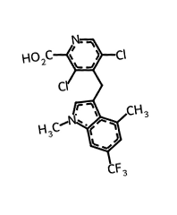 Cc1cc(C(F)(F)F)cc2c1c(Cc1c(Cl)cnc(C(=O)O)c1Cl)cn2C